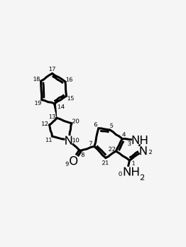 Nc1n[nH]c2ccc(C(=O)N3CC[C@@H](c4ccccc4)C3)cc12